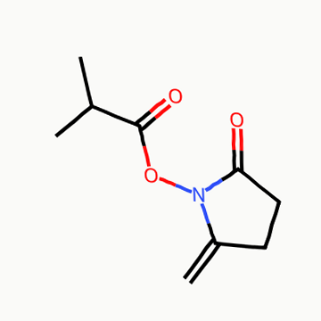 C=C1CCC(=O)N1OC(=O)C(C)C